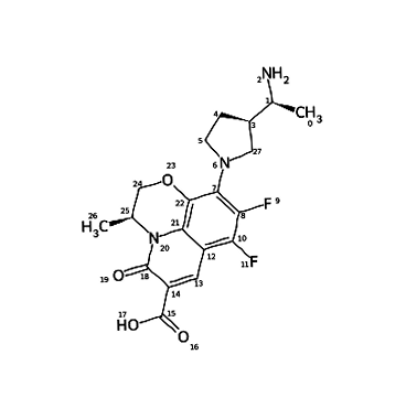 C[C@H](N)[C@@H]1CCN(c2c(F)c(F)c3cc(C(=O)O)c(=O)n4c3c2OC[C@@H]4C)C1